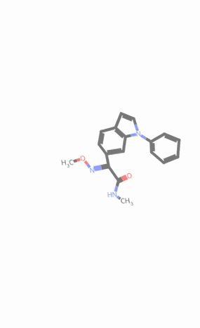 CNC(=O)/C(=N/OC)c1ccc2ccn(-c3ccccc3)c2c1